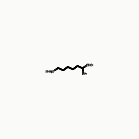 CCCCCCCCCCCCC([C]=O)CCC